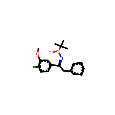 COc1cc(C(Cc2ccccc2)=N[S+]([O-])C(C)(C)C)ccc1F